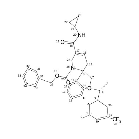 CC1=CC([C@@H](C)OC[C@@]2(c3ccccc3)CC=C(C(=O)NC3CC3)CN2C(=O)OCc2ccccc2)CC(C(F)(F)F)=C1